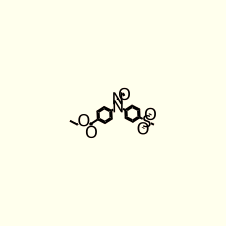 CCOC(=O)c1ccc(N(N=O)c2ccc(S(C)(=O)=O)cc2)cc1